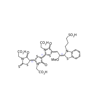 CO/C(C=c1s/c(=c2/s/c(=C3/SC(=S)N(CC(=O)O)C3=O)n(CC(=O)O)c2=O)n(CC(=O)O)c1=O)=C1\Sc2ccccc2N1CCCS(=O)(=O)O